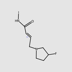 O=C(/C=C/CN1CCC(F)C1)NI